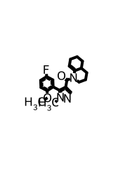 COc1ccc(F)cc1-c1c(C(=O)N2CCCC3CCCC=C32)cnn1C